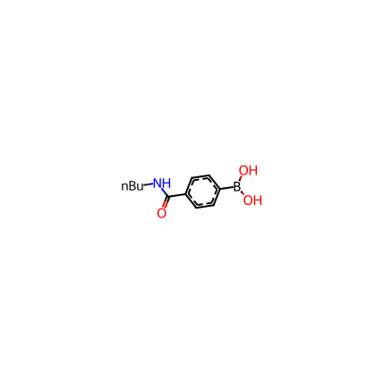 CCCCNC(=O)c1ccc(B(O)O)cc1